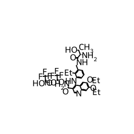 CCOc1cc2ncc(C(N)=O)c(Nc3cccc(CNC(=O)[C@@H](N)C(C)O)c3CC)c2cc1OCC.O=C(O)C(F)(F)F.O=C(O)C(F)(F)F